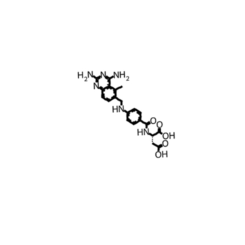 Cc1c(CNc2ccc(C(=O)N[C@@H](CC(=O)O)C(=O)O)cc2)ccc2nc(N)nc(N)c12